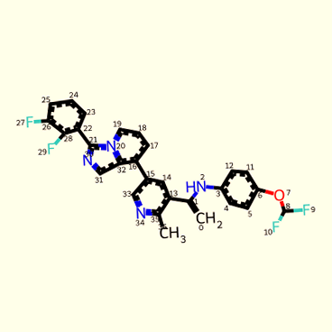 C=C(Nc1ccc(OC(F)F)cc1)c1cc(-c2cccn3c(-c4cccc(F)c4F)ncc23)cnc1C